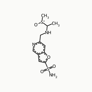 CC(NCc1cc2oc(S(N)(=O)=O)cc2cn1)[S+](C)[O-]